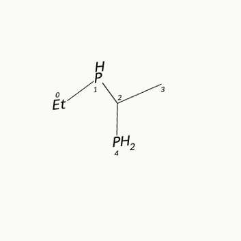 CCPC(C)P